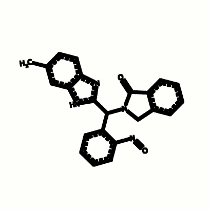 Cc1ccc2nc(C(c3ccccc3N=O)N3Cc4ccccc4C3=O)[nH]c2c1